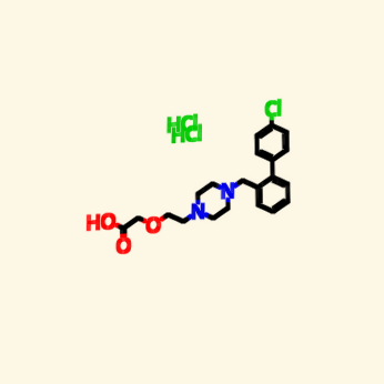 Cl.Cl.O=C(O)COCCN1CCN(Cc2ccccc2-c2ccc(Cl)cc2)CC1